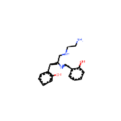 NCCNCC(=Cc1ccccc1O)N=Cc1ccccc1O